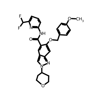 COc1ccc(COc2cc3nn(C4CCOCC4)cc3cc2C(=O)Nc2cccc(C(F)F)n2)cc1